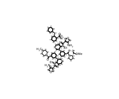 CCn1c(-c2nonc2N)nc2cncc(-c3cccc(C(=O)N4CCC[C@H]4C(=O)OC)c3)c21.CCn1c(-c2nonc2N)nc2cncc(-c3cccc(C(=O)N4CCN(C)CC4)c3)c21.NC(=O)c1ccccc1Cc1ccccc1